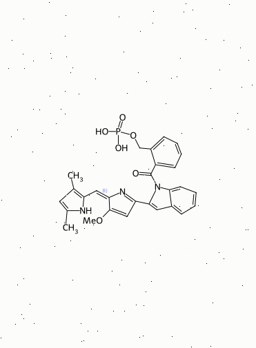 COC1=CC(c2cc3ccccc3n2C(=O)c2ccccc2COP(=O)(O)O)=N/C1=C/c1[nH]c(C)cc1C